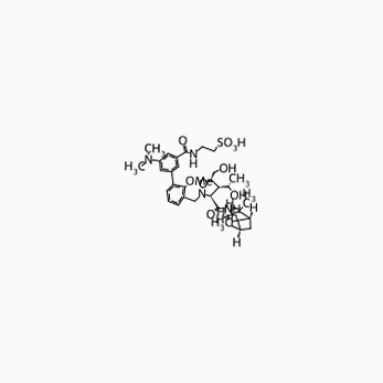 COc1c(CN2O[C@@H](CO)[C@@H]([C@H](C)O)[C@H]2C(=O)N[C@H]2C[C@H]3C[C@@H]([C@@H]2C)C3(C)C)cccc1-c1cc(C(=O)NCCS(=O)(=O)O)cc(N(C)C)c1